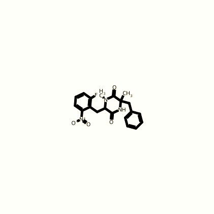 CN1C(=O)C(C)(Cc2ccccc2)NC(=O)C1Cc1c(F)cccc1[N+](=O)[O-]